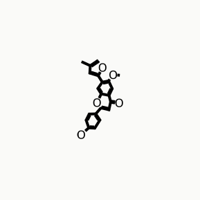 COc1ccc(-c2cc(=O)c3cc(OC)c(-c4cc(C)co4)cc3o2)cc1